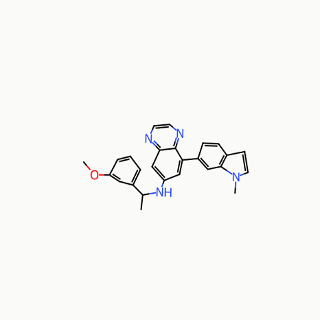 COc1cccc(C(C)Nc2cc(-c3ccc4ccn(C)c4c3)c3nccnc3c2)c1